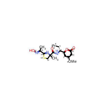 COc1cc([C@@H](CC(C)C)NC(=O)C2(C)CSC(/C(C)=N/O)=N2)oc(=O)c1